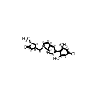 Cc1cc(Cl)cc(O)c1-c1cc2ccn(CC3CC(=O)N(C)C3)c2nn1